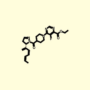 C=C(/C=C\C=C/C)[C@@H]1CC=NN1C(=O)C1CCN(c2ncnc(C(=O)OCC)c2F)CC1